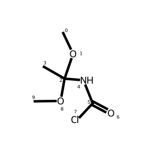 COC(C)(NC(=O)Cl)OC